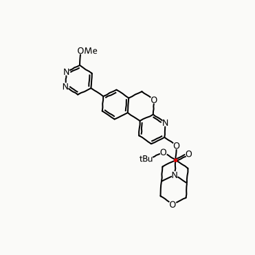 COc1cc(-c2ccc3c(c2)COc2nc(OC4CC5COCC(C4)N5C(=O)OC(C)(C)C)ccc2-3)cnn1